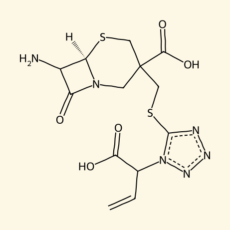 C=CC(C(=O)O)n1nnnc1SCC1(C(=O)O)CS[C@@H]2C(N)C(=O)N2C1